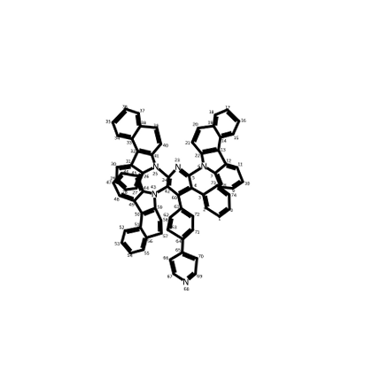 c1ccc(-c2c(-n3c4ccccc4c4c5ccccc5ccc43)nc(-n3c4ccccc4c4c5ccccc5ccc43)c(-n3c4ccccc4c4c5ccccc5ccc43)c2-c2ccc(-c3ccncc3)cc2)cc1